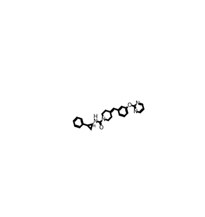 O=C(N[C@@H]1CC1c1ccccc1)N1CCC(=Cc2cccc(Oc3ncccn3)c2)CC1